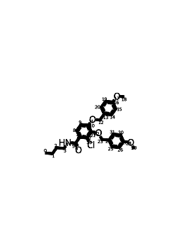 CCCCNC(=O)c1ccc(OCc2ccc(OC)cc2)c(OCc2ccc(OC)cc2)c1Cl